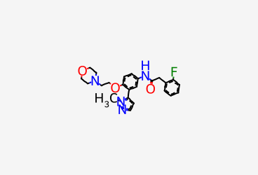 Cn1nccc1-c1cc(NC(=O)Cc2ccccc2F)ccc1OCCN1CCOCC1